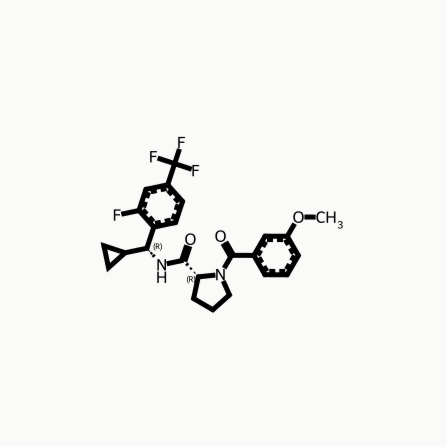 COc1cccc(C(=O)N2CCC[C@@H]2C(=O)N[C@@H](c2ccc(C(F)(F)F)cc2F)C2CC2)c1